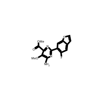 COC(=O)c1nc(-c2cc3occc3cc2F)nc(N)c1OC